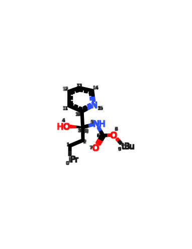 CC(C)CC[C@@](O)(NC(=O)OC(C)(C)C)c1ccccn1